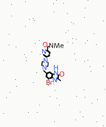 CNC(=O)c1ccc(N2CCN(Cc3cc(Br)c4nc(C)c(=O)[nH]c4c3)CC2)cn1